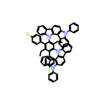 CCc1c(-c2ccc(F)cc2)c(-n2c3ccccc3c3ccc4c(c5ccccc5n4-c4ccccc4)c32)c(CC)c(-n2c3ccccc3c3ccc4c(c5ccccc5n4-c4ccccc4)c32)c1-c1ccc(F)cc1